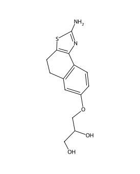 Nc1nc2c(s1)CCc1cc(OCC(O)CO)ccc1-2